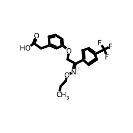 CCCO/N=C(\COc1cccc(CC(=O)O)c1)c1ccc(C(F)(F)F)cc1